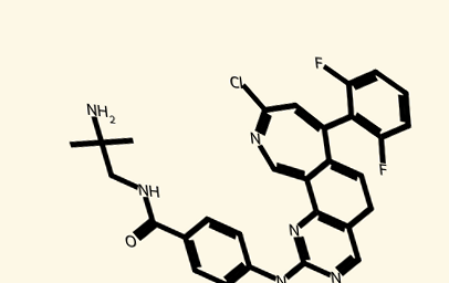 CC(C)(N)CNC(=O)c1ccc(Nc2ncc3c(n2)C2=CN=C(Cl)C=C(c4c(F)cccc4F)C2=CC3)cc1